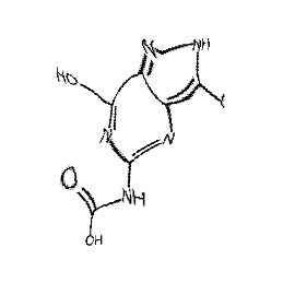 O=C(O)Nc1nc(O)c2n[nH]c(I)c2n1